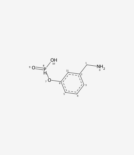 NCc1cccc(O[PH](=O)O)c1